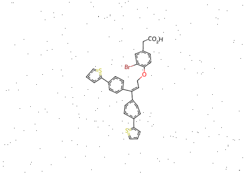 O=C(O)Cc1ccc(OCC=C(c2ccc(-c3cccs3)cc2)c2ccc(-c3cccs3)cc2)c(Br)c1